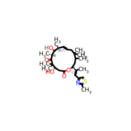 C/C(=C\c1csc(C)n1)[C@@H]1CC(C)C(C)(C)C/C=C/[C@H](C)[C@H](O)[C@@H](C)C(=O)C(C)(C)[C@@H](O)CC(=O)O1